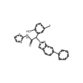 O=C(Nc1nccs1)C(c1cc(F)ccc1O)n1cc2ccc(-c3ccccc3)cc2n1